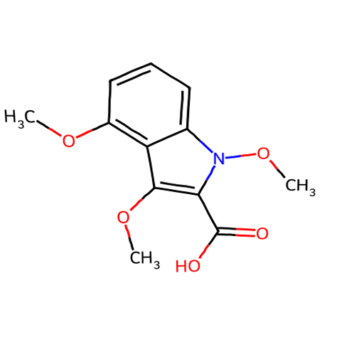 COc1cccc2c1c(OC)c(C(=O)O)n2OC